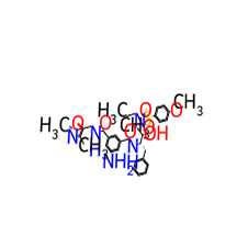 COc1ccc(S(=O)(=O)N(CC(C)C)C[C@@H](O)[C@H](Cc2ccccc2)NC(=O)c2cc(N)cc(C(=O)NCc3oc(C)nc3C)c2)cc1